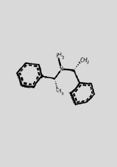 C[C@H](c1ccccc1)N(P)[C@H](C)c1ccccc1